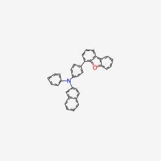 c1ccc(N(c2ccc(-c3cccc4c3oc3ccccc34)cc2)c2ccc3ccccc3c2)cc1